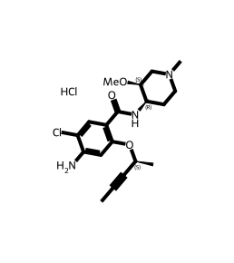 CC#C[C@H](C)Oc1cc(N)c(Cl)cc1C(=O)N[C@@H]1CCN(C)C[C@@H]1OC.Cl